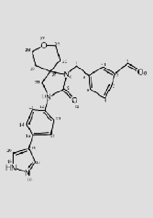 O=Cc1cccc(CN2C(=O)N(c3ccc(-c4cn[nH]c4)cc3)CC23CCOCC3)c1